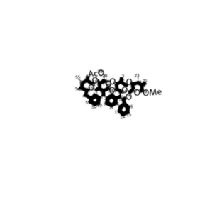 COC1C(C)[C@@H](O[C@@H]2C(COCc3ccccc3)O[C@H](OC)C(C)[C@H]2C)O[C@@H](Cc2ccccc2)[C@H]1O[C@H]1O[C@@H](COC(C)=O)[C@@H](O[C@@H]2OC(Cc3ccccc3)[C@@H](C)[C@H](C)C2C)C(C)C1C